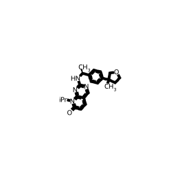 CC(C)n1c(=O)ccc2cnc(N[C@@H](C)c3ccc(C4(C)CCOC4)cc3)nc21